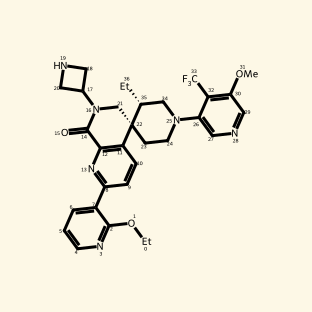 CCOc1ncccc1-c1ccc2c(n1)C(=O)N(C1CNC1)C[C@]21CCN(c2cncc(OC)c2C(F)(F)F)C[C@H]1CC